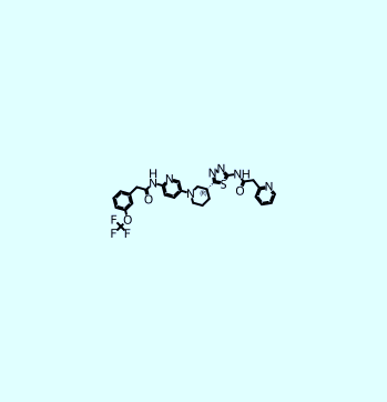 O=C(Cc1cccc(OC(F)(F)F)c1)Nc1ccc(N2CCC[C@@H](c3nnc(NC(=O)Cc4ccccn4)s3)C2)cn1